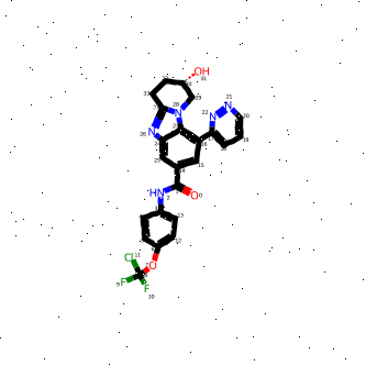 O=C(Nc1ccc(OC(F)(F)Cl)cc1)c1cc(-c2cccnn2)c2c(c1)nc1n2C[C@@H](O)CC1